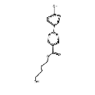 O=C(OCCCCO)c1ccc(-c2ccc(O)cc2)cc1